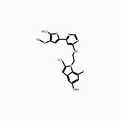 CCOc1cc(-c2cc(NCCn3c(C)cc4cc(OC)cc(F)c43)ncn2)sc1C(=O)O